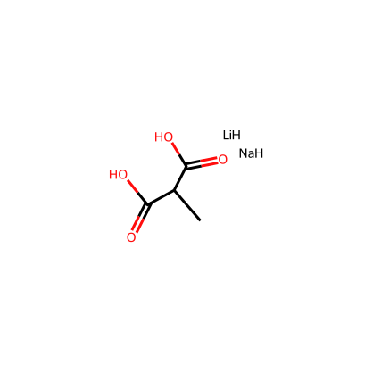 CC(C(=O)O)C(=O)O.[LiH].[NaH]